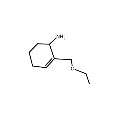 CCOCC1=CCCCC1N